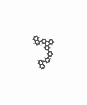 c1ccc2c(-c3ccc4sc5ccc(-c6ccc7c(c6)c6ccccc6c6ccc8c(oc9ccc%10ccccc%10c98)c67)cc5c4c3)cccc2c1